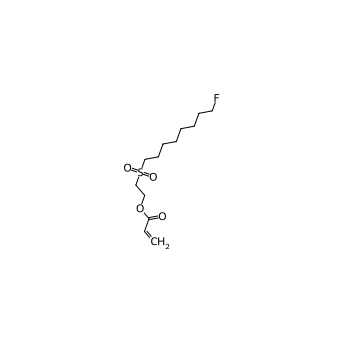 C=CC(=O)OCCS(=O)(=O)CCCCCCCCF